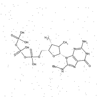 CC1[C@@H](C)[C@@H](COP(=O)(O)OP(=O)(O)OP(=O)(O)O)O[C@H]1n1c(NC(C)(C)C)nc2c(=O)[nH]c(N)nc21